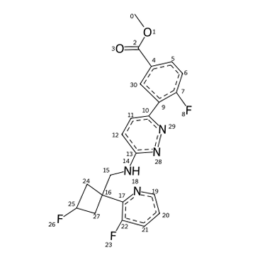 COC(=O)c1ccc(F)c(-c2ccc(NCC3(c4ncccc4F)CC(F)C3)nn2)c1